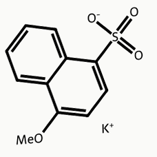 COc1ccc(S(=O)(=O)[O-])c2ccccc12.[K+]